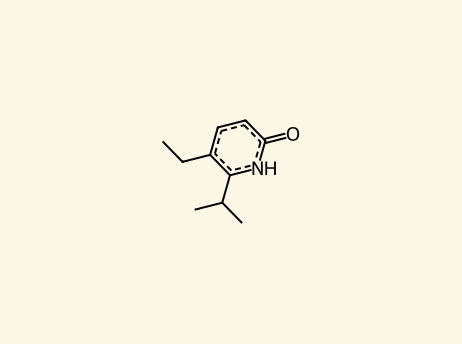 CCc1ccc(=O)[nH]c1C(C)C